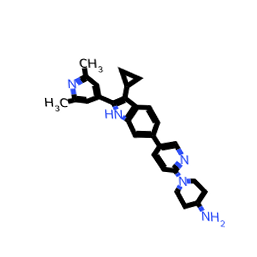 Cc1cc(-c2[nH]c3cc(-c4ccc(N5CCC(N)CC5)nc4)ccc3c2C2CC2)cc(C)n1